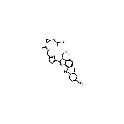 CCCNC[C@@H]1C[C@H]1C(=O)NCc1nc(-c2cc3c(N[C@@H]4CCN(C)C[C@@H]4F)cccc3n2CC(F)(F)F)no1